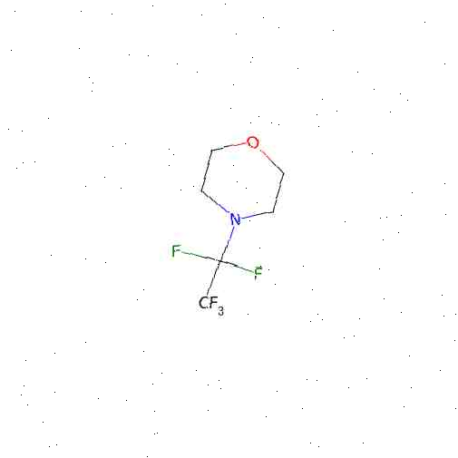 FC(F)(F)C(F)(F)N1CCOCC1